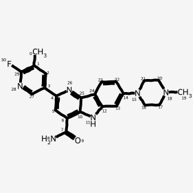 Cc1cc(-c2cc(C(N)=O)c3[nH]c4cc(N5CCN(C)CC5)ccc4c3n2)cnc1F